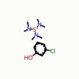 CN(C)[S+](N(C)C)N(C)C.Oc1cccc(Cl)c1